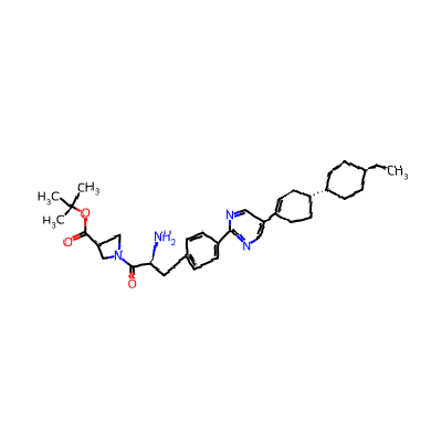 CC[C@H]1CC[C@H](C2CC=C(c3cnc(-c4ccc(C[C@H](N)C(=O)N5CC(C(=O)OC(C)(C)C)C5)cc4)nc3)CC2)CC1